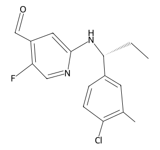 CC[C@@H](Nc1cc(C=O)c(F)cn1)c1ccc(Cl)c(C)c1